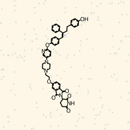 O=C1CCC(N2C(=O)c3ccc(OCCN4CCN(c5ccc(Oc6ccc(/C=C(/CCc7ccc(O)cc7)c7ccccc7)cc6)nc5)CC4)cc3C2=O)C(=O)N1